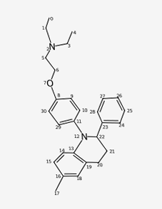 CCN(CC)CCOc1ccc(N2c3ccc(C)cc3CCC2c2ccccc2)cc1